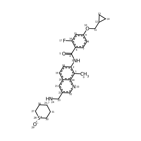 Cc1c(NC(=O)c2ccc(OCC3CC3)cc2F)ccc2cc(CN[C@H]3CC[S@@+]([O-])CC3)cnc12